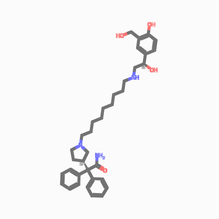 NC(=O)C(c1ccccc1)(c1ccccc1)[C@@H]1CCN(CCCCCCCCCNC[C@H](O)c2ccc(O)c(CO)c2)C1